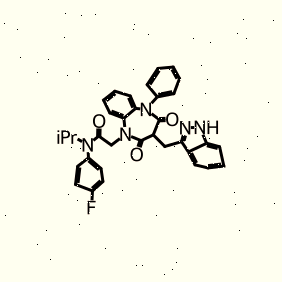 CC(C)N(C(=O)CN1C(=O)C(Cc2n[nH]c3ccccc23)C(=O)N(c2ccccc2)c2ccccc21)c1ccc(F)cc1